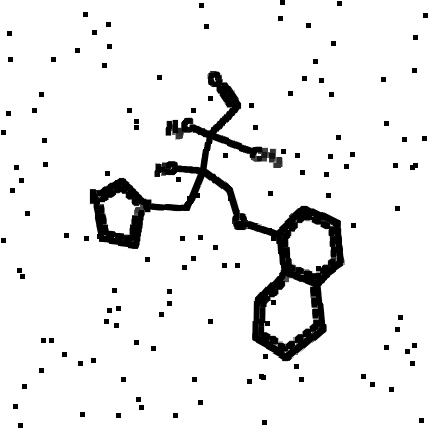 CC(C)(C=O)C(O)(COc1cccc2ccccc12)Cn1ccnc1